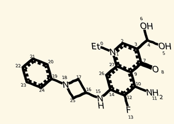 CCn1cc(C(O)O)c(=O)c2c(N)c(F)c(NC3CN(c4ccccc4)C3)cc21